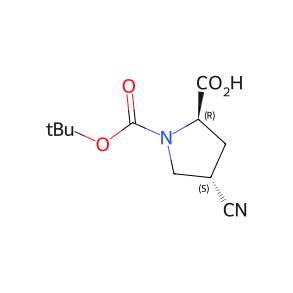 CC(C)(C)OC(=O)N1C[C@@H](C#N)C[C@@H]1C(=O)O